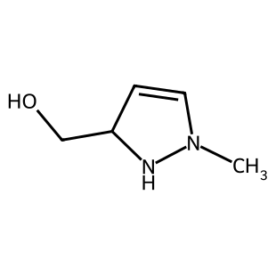 CN1C=CC(CO)N1